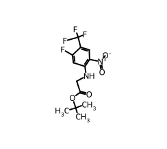 CC(C)(C)OC(=O)CNc1cc(F)c(C(F)(F)F)cc1[N+](=O)[O-]